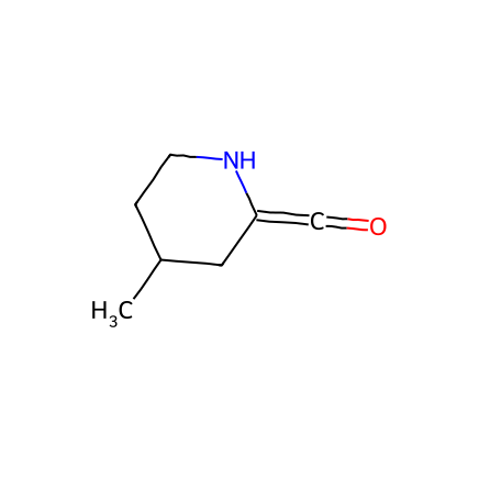 CC1CCNC(=C=O)C1